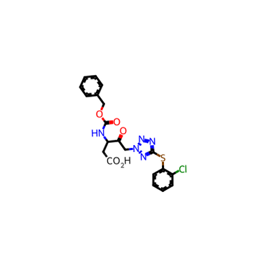 O=C(O)CC(NC(=O)OCc1ccccc1)C(=O)Cn1nnc(Sc2ccccc2Cl)n1